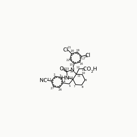 N#Cc1ccc(CC23CCCCC2(CC(=O)O)N(c2cc(Cl)cc(Cl)c2)C(=O)N3)cc1